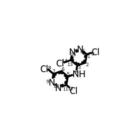 Clc1cc(Nc2cc(Cl)nnc2Cl)c(Cl)nn1